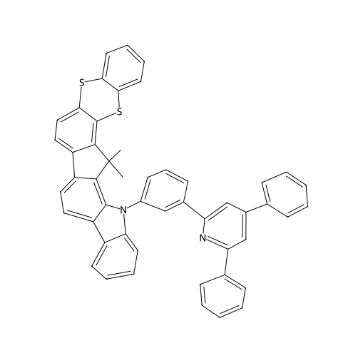 CC1(C)c2c(ccc3c2Sc2ccccc2S3)-c2ccc3c4ccccc4n(-c4cccc(-c5cc(-c6ccccc6)cc(-c6ccccc6)n5)c4)c3c21